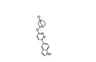 [O-][N+]12CCC(CC1)C(Oc1ccc(-c3ccc4[nH]ccc4c3)nn1)C2